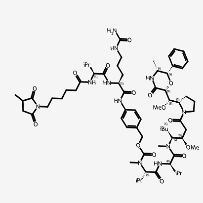 CC[C@H](C)[C@@H]([C@@H](CC(=O)N1CCC[C@H]1[C@H](OC)[C@H]1O[C@@H](c2ccccc2)[C@@H](C)NC1=O)OC)N(C)C(=O)[C@H](NC(=O)[C@H](C(C)C)N(C)C(=O)OCc1ccc(NC(=O)[C@H](CCCNC(N)=O)NC(=O)[C@@H](NC(=O)CCCCCN2C(=O)CC(C)C2=O)C(C)C)cc1)C(C)C